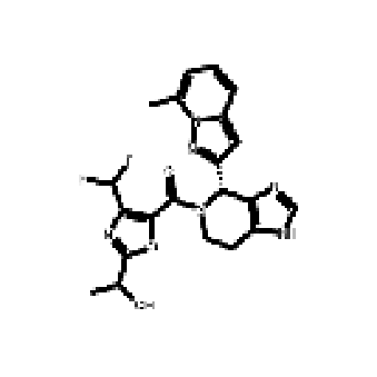 Cc1cccc2cc([C@@H]3c4nc[nH]c4CCN3C(=O)c3oc(C(C)O)nc3C(F)F)nn12